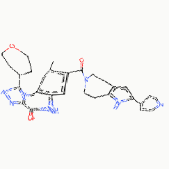 Cc1cc2c(cc1C(=O)N1CCc3[nH]c(-c4ccncc4)cc3C1)[nH]c(=O)c1nnc(C3CCOCC3)n12